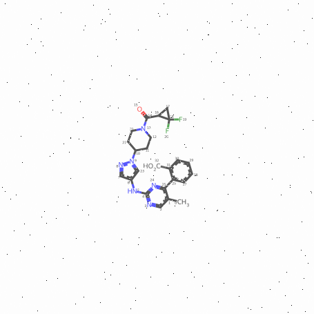 Cc1cnc(Nc2cnn(C3CCN(C(=O)C4CC4(F)F)CC3)c2)nc1-c1ccccc1C(=O)O